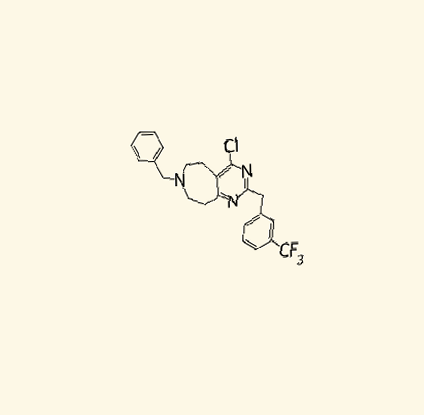 FC(F)(F)c1cccc(Cc2nc(Cl)c3c(n2)CCN(Cc2ccccc2)CC3)c1